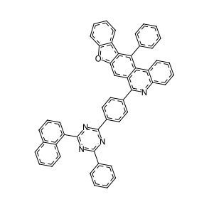 c1ccc(-c2nc(-c3ccc(-c4nc5ccccc5c5c(-c6ccccc6)c6c(cc45)oc4ccccc46)cc3)nc(-c3cccc4ccccc34)n2)cc1